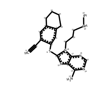 C#Cc1cc2c(cc1Sc1nc3c(N)ncnc3n1CCCNC(C)C)CCCC2